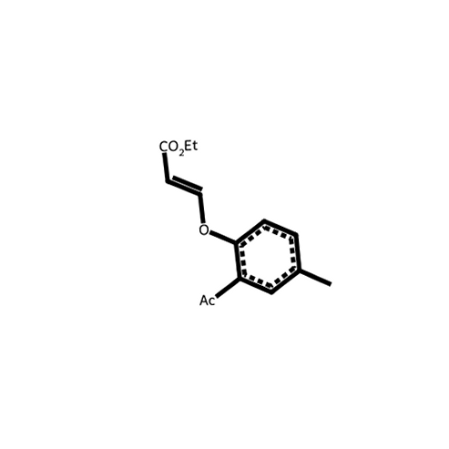 CCOC(=O)C=COc1ccc(C)cc1C(C)=O